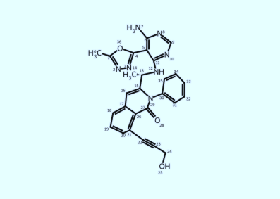 Cc1nnc(-c2c(N)ncnc2N[C@@H](C)c2cc3cccc(C#CCO)c3c(=O)n2-c2ccccc2)o1